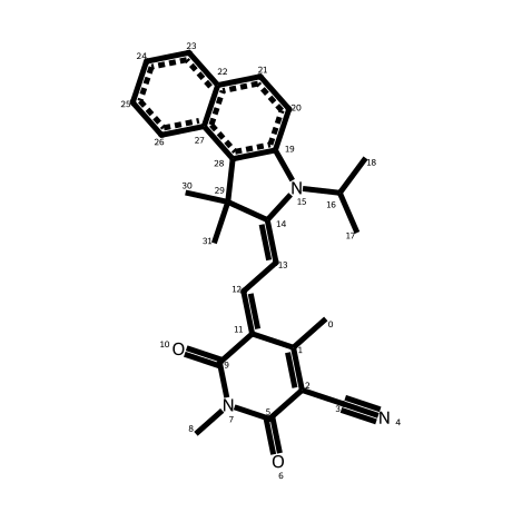 CC1=C(C#N)C(=O)N(C)C(=O)/C1=C/C=C1/N(C(C)C)c2ccc3ccccc3c2C1(C)C